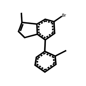 CC1=CCc2c1cc(Br)cc2-c1ccccc1C